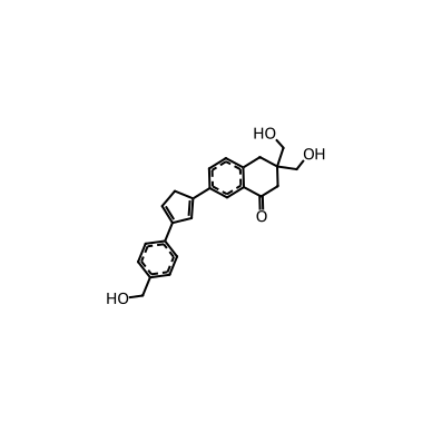 O=C1CC(CO)(CO)Cc2ccc(C3=CC(c4ccc(CO)cc4)=CC3)cc21